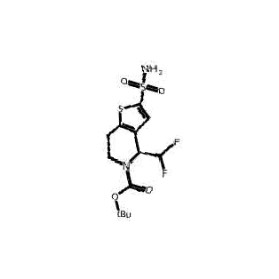 CC(C)(C)OC(=O)N1CCc2sc(S(N)(=O)=O)cc2[C@H]1C(F)F